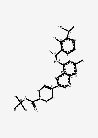 Cc1nc(N[C@H](C)c2cccc(C(F)F)c2F)c2cc(C3=CCN(C(=O)OC(C)(C)C)CC3)cnc2n1